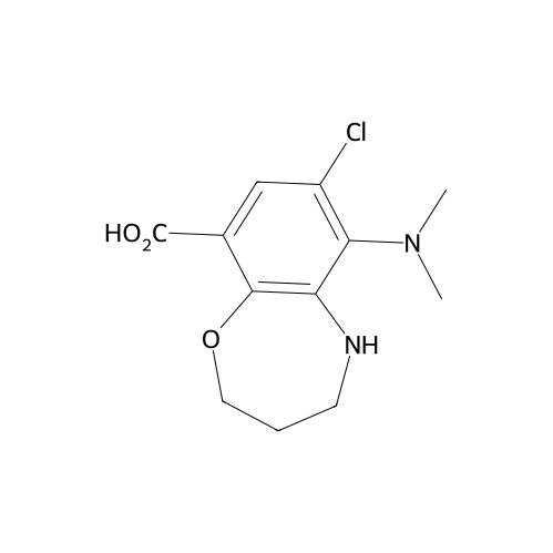 CN(C)c1c(Cl)cc(C(=O)O)c2c1NCCCO2